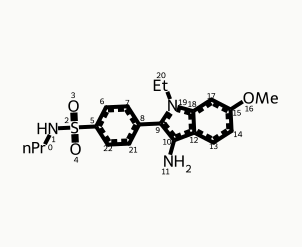 CCCNS(=O)(=O)c1ccc(-c2c(N)c3ccc(OC)cc3n2CC)cc1